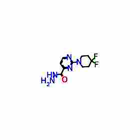 NNC(=O)c1ccnc(N2CCC(F)(F)CC2)n1